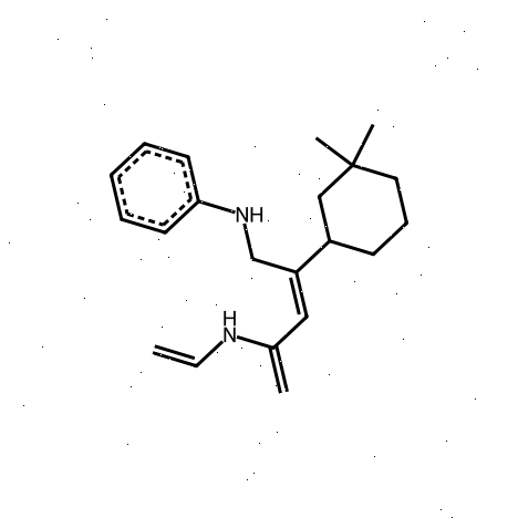 C=CNC(=C)/C=C(\CNc1ccccc1)C1CCCC(C)(C)C1